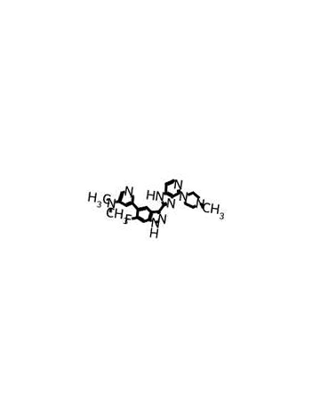 CN1CCN(c2nccc3[nH]c(-c4n[nH]c5cc(F)c(-c6cncc(N(C)C)c6)cc45)nc23)CC1